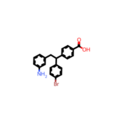 Nc1cccc(C[C](c2ccc(Br)cc2)c2ccc(C(=O)O)cc2)c1